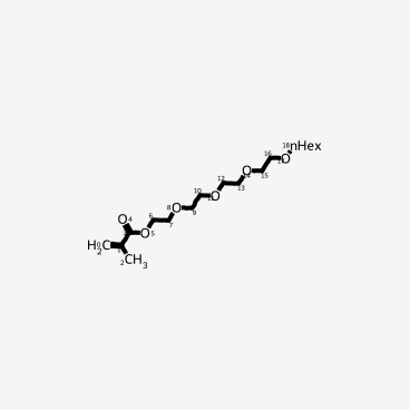 C=C(C)C(=O)OCCOCCOCCOCCOCCCCCC